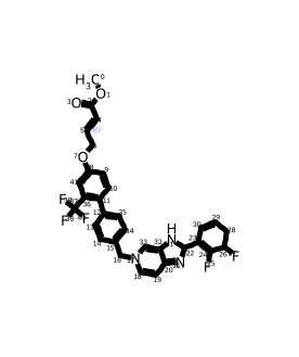 COC(=O)/C=C/COc1ccc(-c2ccc(CN3C=CC4=NC(C5=C(F)C(F)CC=C5)NC4=C3)cc2)c(C(F)(F)F)c1